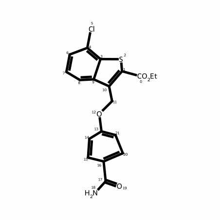 CCOC(=O)c1sc2c(Cl)cccc2c1COc1ccc(C(N)=O)cc1